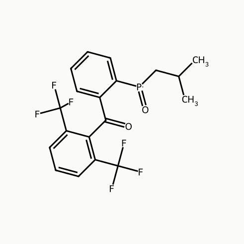 CC(C)C[P](=O)c1ccccc1C(=O)c1c(C(F)(F)F)cccc1C(F)(F)F